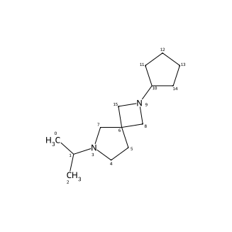 CC(C)N1CCC2(C1)CN(C1CCCC1)C2